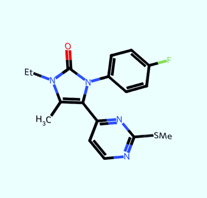 CCn1c(C)c(-c2ccnc(SC)n2)n(-c2ccc(F)cc2)c1=O